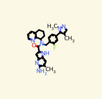 Cc1cc2[nH]c(C(=O)N(Cc3ccc(-c4c(C)cnn4C)cc3F)C3CCCc4cccnc43)cc2nc1N